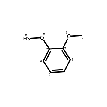 COc1ccccc1OS